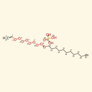 C=COOOOOOOOOCCCCCCCCCCC(C)C.O=P(O)(O)O